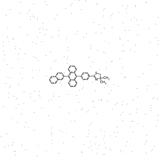 CC1(C)CSC(c2ccc(-c3c4ccccc4c(-c4ccc5ccccc5c4)c4ccccc34)cc2)=N1